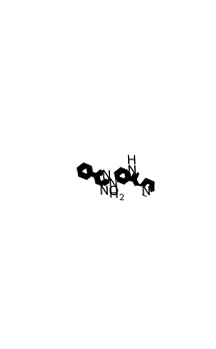 CN1CCC[C@@H]1Cc1c[nH]c2ccc(Nc3ncc(-c4ccccc4)cc3[N+](=O)[O-])cc12